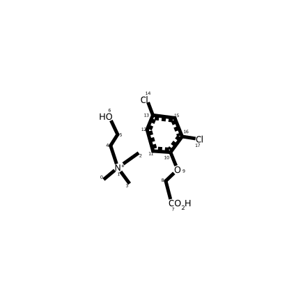 C[N+](C)(C)CCO.O=C(O)COc1ccc(Cl)cc1Cl